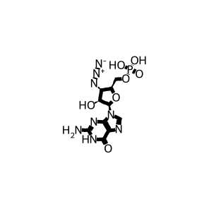 [N-]=[N+]=N[C@H]1[C@@H](O)[C@H](n2cnc3c(=O)[nH]c(N)nc32)O[C@@H]1COP(=O)(O)O